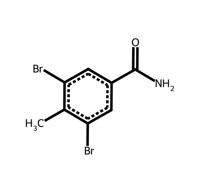 Cc1c(Br)cc(C(N)=O)cc1Br